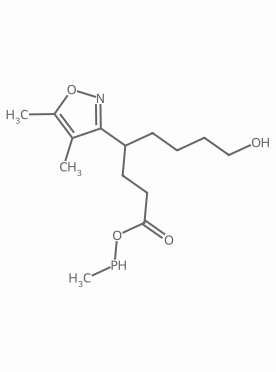 CPOC(=O)CCC(CCCCO)c1noc(C)c1C